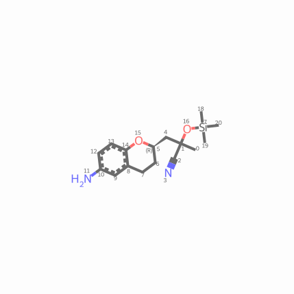 CC(C#N)(C[C@H]1CCc2cc(N)ccc2O1)O[Si](C)(C)C